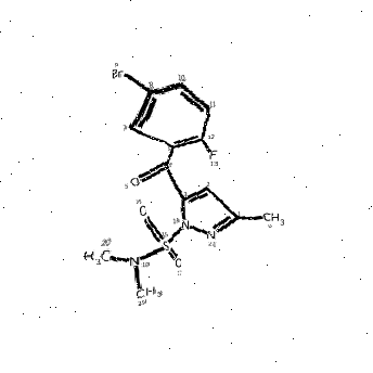 Cc1cc(C(=O)c2cc(Br)ccc2F)n(S(=O)(=O)N(C)C)n1